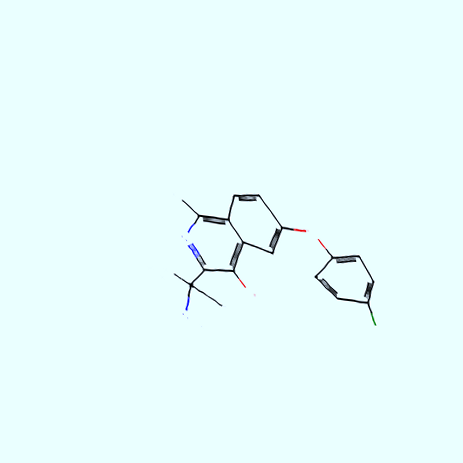 Cc1nc(C(N)(C=O)C(=O)O)c(O)c2cc(Oc3ccc(Cl)cc3)ccc12